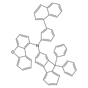 c1ccc(C2(c3ccccc3)c3ccccc3-c3ccc(N(c4cccc(-c5cccc6ccccc56)c4)c4cccc5oc6ccccc6c45)cc32)cc1